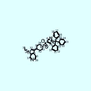 O=S(=O)(c1cnn(C(c2ccccc2)(c2ccccc2)c2ccccc2)c1)N1CCC(c2cn(SI)c3cnccc23)CC1